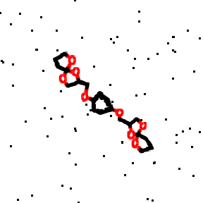 c1cc(OCC2COC3(CCCO3)O2)ccc1OCC1COC2(CCCO2)O1